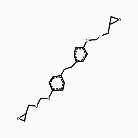 c1cc(OCOCC2CO2)ccc1CCc1ccc(OCOCC2CO2)cc1